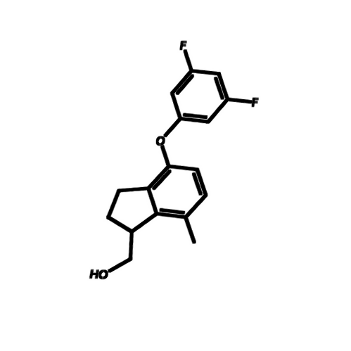 Cc1ccc(Oc2cc(F)cc(F)c2)c2c1C(CO)CC2